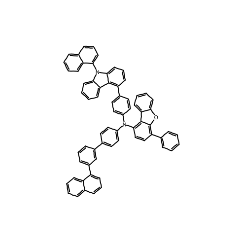 c1ccc(-c2ccc(N(c3ccc(-c4cccc(-c5cccc6ccccc56)c4)cc3)c3ccc(-c4cccc5c4c4ccccc4n5-c4cccc5ccccc45)cc3)c3c2oc2ccccc23)cc1